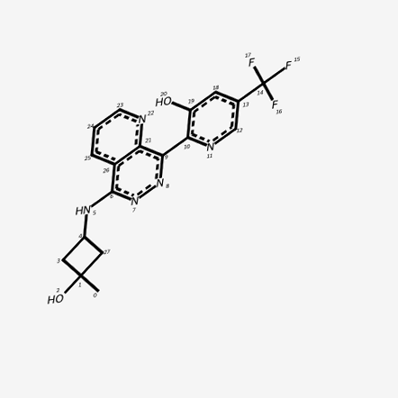 CC1(O)CC(Nc2nnc(-c3ncc(C(F)(F)F)cc3O)c3ncccc23)C1